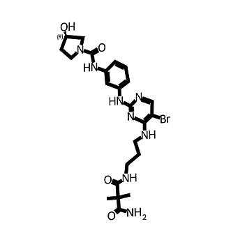 CC(C)(C(N)=O)C(=O)NCCCNc1nc(Nc2cccc(NC(=O)N3CC[C@@H](O)C3)c2)ncc1Br